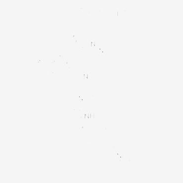 Cc1cc(CNSN2CCN(c3cnn(-c4cc(F)cc(F)c4)c(=O)c3OCC3(C)CC3)CC2)ccc1N